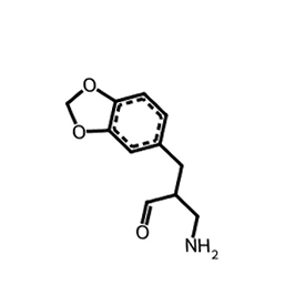 NCC(C=O)Cc1ccc2c(c1)OCO2